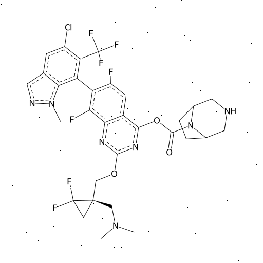 CN(C)C[C@@]1(COc2nc(OC(=O)N3C4CCC3CNC4)c3cc(F)c(-c4c(C(F)(F)F)c(Cl)cc5cnn(C)c45)c(F)c3n2)CC1(F)F